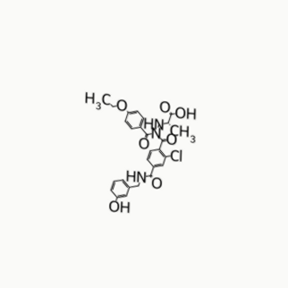 CCOc1ccc(C(=O)N(N[C@@H](C)C(=O)O)C(=O)c2ccc(C(=O)NCc3cccc(O)c3)cc2Cl)cc1